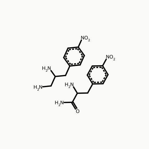 NC(=O)C(N)Cc1ccc([N+](=O)[O-])cc1.NCC(N)Cc1ccc([N+](=O)[O-])cc1